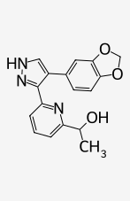 CC(O)c1cccc(-c2n[nH]cc2-c2ccc3c(c2)OCO3)n1